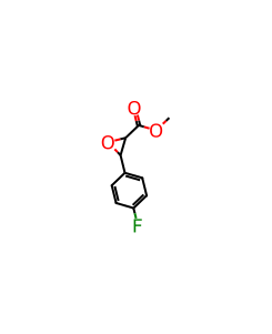 COC(=O)C1OC1c1ccc(F)cc1